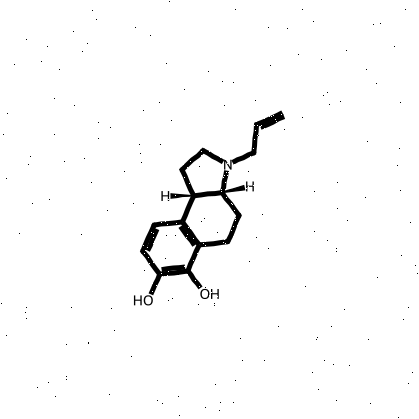 C=CCN1CC[C@H]2c3ccc(O)c(O)c3CC[C@H]21